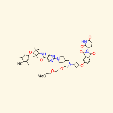 COCCOCCOCCN(CC1CCN(c2ncc(C(=O)NC3C(C)(C)C(Oc4cc(C)c(C#N)c(C)c4)C3(C)C)cn2)CC1)C1CC(Oc2ccc3c(c2)C(=O)N([C@@H]2CCC(=O)NC2=O)C3=O)C1